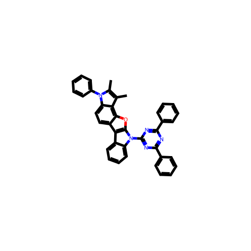 Cc1c(C)n(-c2ccccc2)c2ccc3c(oc4c3c3ccccc3n4-c3nc(-c4ccccc4)nc(-c4ccccc4)n3)c12